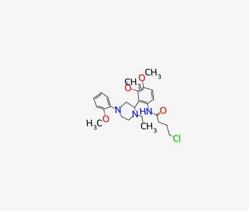 CCN1CCN(c2ccccc2OC)CC1c1c(NC(=O)CCCCl)ccc(OC)c1OC